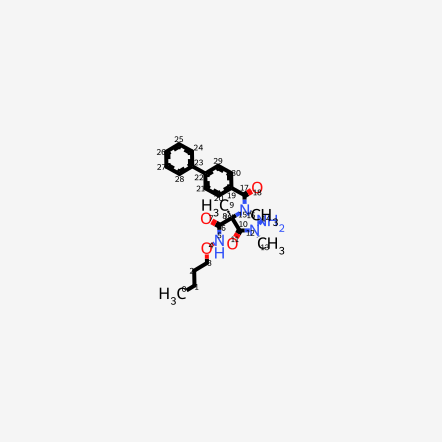 CCCCONC(=O)[C@](C)(C(=O)N(C)N)N(C)C(=O)c1ccc(-c2ccccc2)cc1